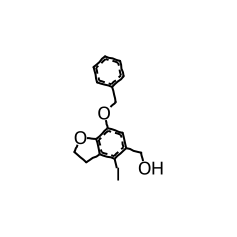 OCc1cc(OCc2ccccc2)c2c(c1I)CCO2